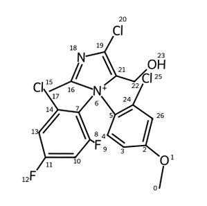 COc1ccc([N+]2(c3c(F)cc(F)cc3Cl)C(C)=NC(Cl)=C2CO)c(Cl)c1